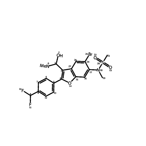 CNC(O)c1c(-c2ccc(C(F)F)cc2)oc2cc(N(C)S(C)(=O)=O)c(Br)cc12